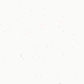 C=C(F)C1=CC(=O)OC1=O